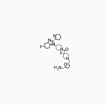 NCc1ccc(CN2CCC(F)(C(=O)N3CCC(n4c(-c5ccccn5)nc5cc(F)ccc54)CC3)CC2)o1